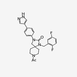 CC(=O)N1CCC2(CC1)CN(c1ccc(-c3cn[nH]c3)cc1)C(=O)N2Cc1cc(F)ccc1F